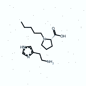 CCCCCN1CCC[C@H]1C(=O)O.NCCc1c[nH]cn1